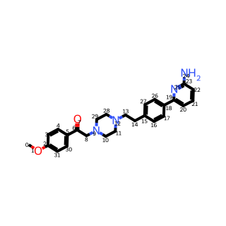 COc1ccc(C(=O)CN2CCN(CCc3ccc(-c4cccc(N)n4)cc3)CC2)cc1